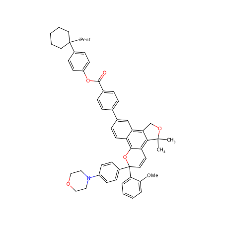 CCCC(C)C1(c2ccc(OC(=O)c3ccc(-c4ccc5c6c(c7c(c5c4)COC7(C)C)C=CC(c4ccc(N5CCOCC5)cc4)(c4ccccc4OC)O6)cc3)cc2)CCCCC1